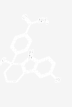 NC(=O)c1ccc(C2(C(=O)O)CCCc3c2[nH]c2ccc(Br)cc32)cc1